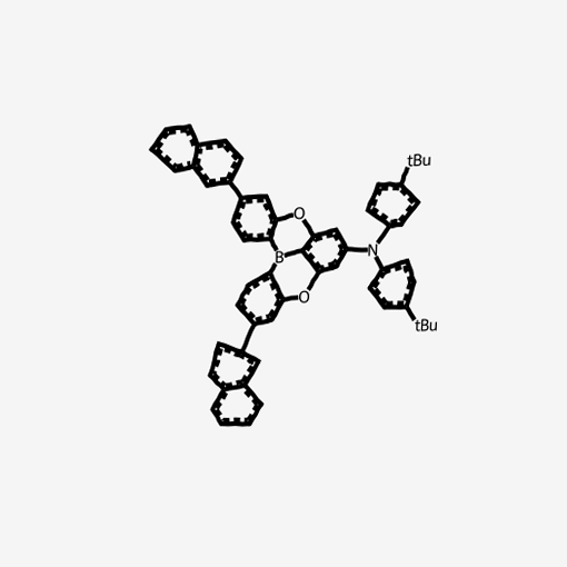 CC(C)(C)c1ccc(N(c2ccc(C(C)(C)C)cc2)c2cc3c4c(c2)Oc2cc(-c5ccc6ccccc6c5)ccc2B4c2ccc(-c4ccc5ccccc5c4)cc2O3)cc1